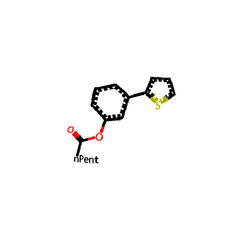 CCCCCC(=O)Oc1cccc(-c2cccs2)c1